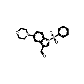 O=Cc1cn(S(=O)(=O)c2ccccc2)c2ccc(N3CCOCC3)cc12